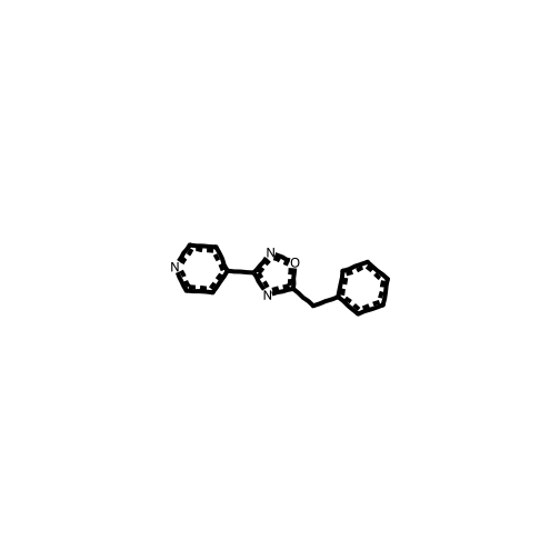 c1ccc(Cc2nc(-c3ccncc3)no2)cc1